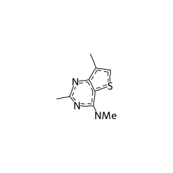 CNc1nc(C)nc2c(C)csc12